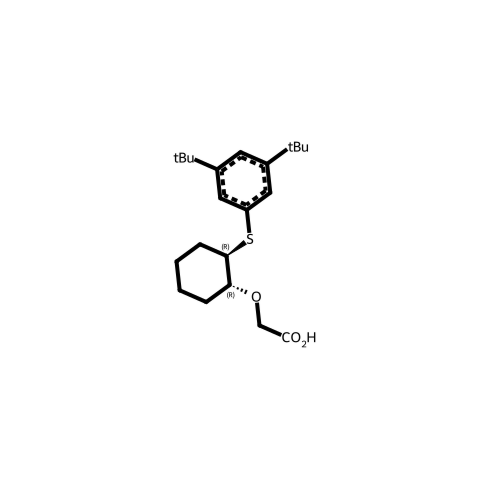 CC(C)(C)c1cc(S[C@@H]2CCCC[C@H]2OCC(=O)O)cc(C(C)(C)C)c1